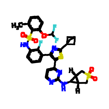 Cc1cccc(OC(F)F)c1S(=O)(=O)Nc1cccc(-c2nc(C34CC(C3)C4)sc2-c2ccnc(N[C@H]3[C@@H]4CS(=O)(=O)C[C@@H]43)n2)c1F